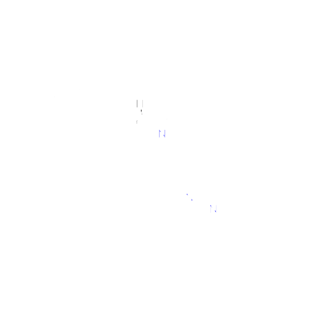 C1=CCCC(c2cc(-c3ccc(N4c5ccccc5[C@H]5C6C=CC(C7=CCCc8ccccc87)=CC6CCC54)cc3)nc(-c3ccccc3)n2)=C1